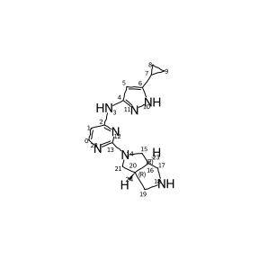 c1cc(Nc2cc(C3CC3)[nH]n2)nc(N2C[C@H]3CNC[C@@H]3C2)n1